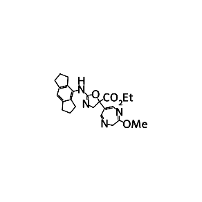 CCOC(=O)C1(C2=CN=C(OC)CN=C2)CN=C(Nc2c3c(cc4c2CCC4)CCC3)O1